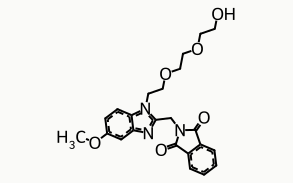 COc1ccc2c(c1)nc(CN1C(=O)c3ccccc3C1=O)n2CCOCCOCCO